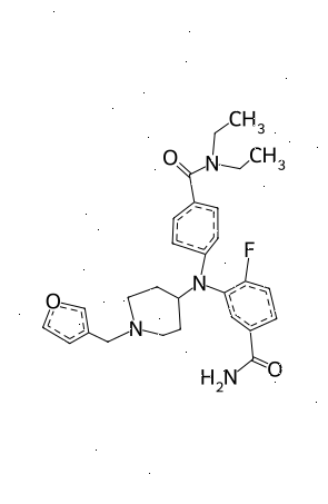 CCN(CC)C(=O)c1ccc(N(c2cc(C(N)=O)ccc2F)C2CCN(Cc3ccoc3)CC2)cc1